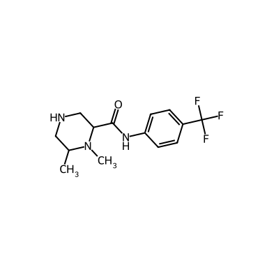 CC1CNCC(C(=O)Nc2ccc(C(F)(F)F)cc2)N1C